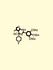 COc1cc(C2=NC(C#N)(N3CCN(C)CC3)c3c(C)csc3N2)cc(OC)c1OC